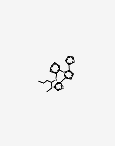 CCCC(CC)Oc1ccccc1-n1c(-c2cccs2)ccc1-c1cccs1